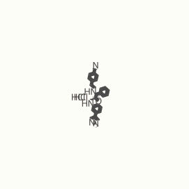 Cl.Cl.Cn1cc(-c2ccc3c(c2)NC[C@@H]([C@H](NCCc2ccc(C#N)cc2)c2ccccc2)O3)cn1